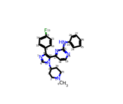 CN1CCC(n2cnc(-c3ccc(F)cc3)c2-c2ccnc(Nc3ccccc3)n2)CC1